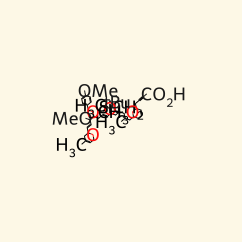 C=C(CC(C)CC1CC=CC(CC#CC(=O)O)O1)CC(C=CCC(OCc1ccc(OC)cc1)C(C=CC1CC(C)=CCO1)OC)O[Si](C)(C)C(C)(C)C